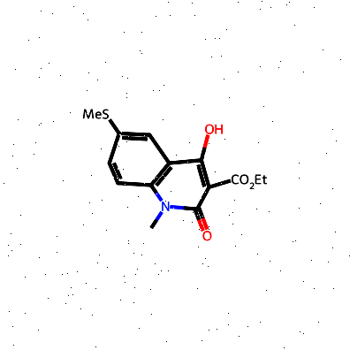 CCOC(=O)c1c(O)c2cc(SC)ccc2n(C)c1=O